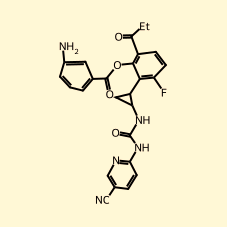 CCC(=O)c1ccc(F)c(C2CC2NC(=O)Nc2ccc(C#N)cn2)c1OC(=O)c1cccc(N)c1